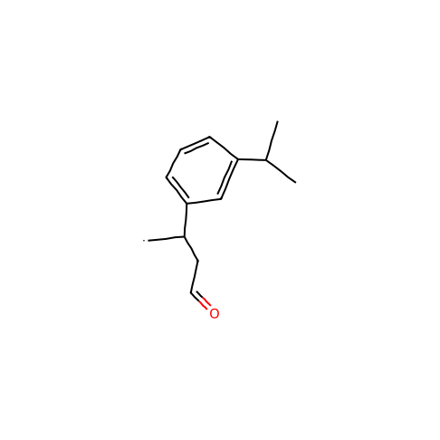 [CH2]C(CC=O)c1cccc(C(C)C)c1